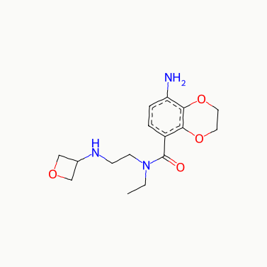 CCN(CCNC1COC1)C(=O)c1ccc(N)c2c1OCCO2